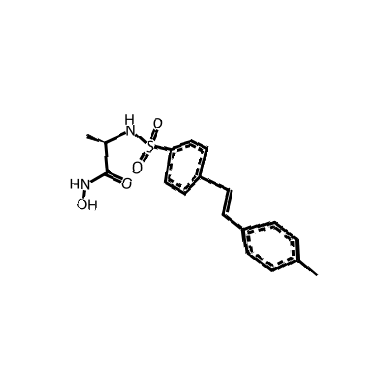 Cc1ccc(C=Cc2ccc(S(=O)(=O)N[C@H](C)C(=O)NO)cc2)cc1